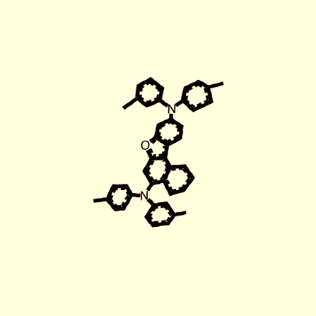 Cc1ccc(N(c2cccc(C)c2)c2ccc3c(c2)oc2cc(N(c4ccc(C)cc4)c4cccc(C)c4)c4ccccc4c23)cc1